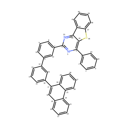 c1ccc(-c2nc(-c3cccc(-c4cccc(-c5cc6ccccc6c6ccccc56)c4)c3)nc3c2sc2ccccc23)cc1